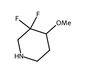 COC1CCNCC1(F)F